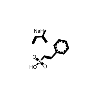 C=CC(=C)C.O=S(=O)(O)C=Cc1ccccc1.[NaH]